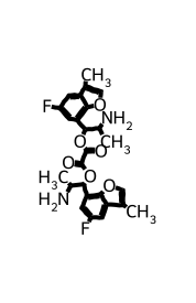 Cc1coc2c(C(OC(=O)C(=O)OC(c3cc(F)cc4c(C)coc34)C(C)N)C(C)N)cc(F)cc12